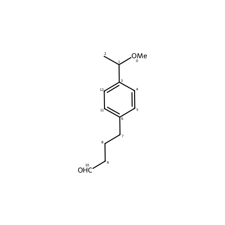 COC(C)c1ccc(CCCC=O)cc1